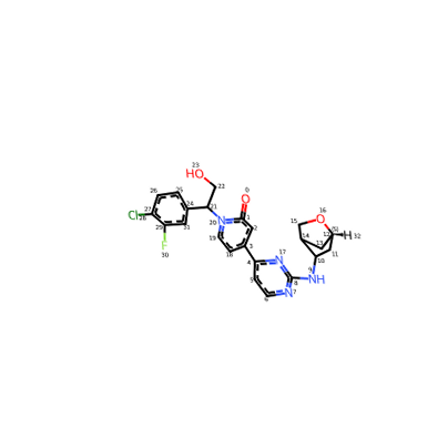 O=c1cc(-c2ccnc(NC3C[C@@H]4CC3CO4)n2)ccn1C(CO)c1ccc(Cl)c(F)c1